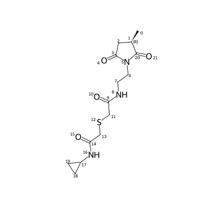 C[C@@H]1CC(=O)N(CCNC(=O)CSCC(=O)NC2CC2)C1=O